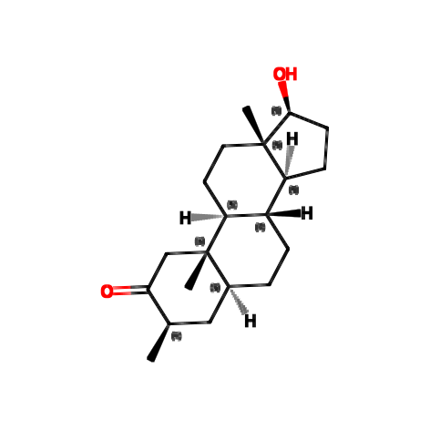 C[C@@H]1C[C@@H]2CC[C@@H]3[C@H](CC[C@]4(C)[C@@H](O)CC[C@@H]34)[C@@]2(C)CC1=O